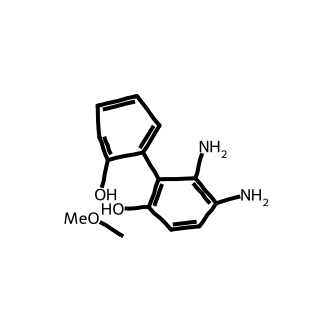 COC.Nc1ccc(O)c(-c2ccccc2O)c1N